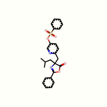 CC(C)CC1(Cc2ccc(OS(=O)(=O)c3ccccc3)cn2)N=C(c2ccccc2)OC1=O